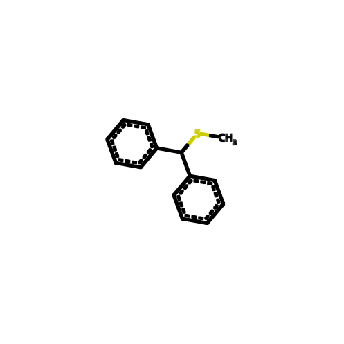 CSC(c1ccccc1)c1ccccc1